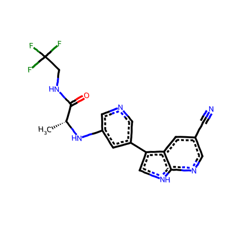 C[C@@H](Nc1cncc(-c2c[nH]c3ncc(C#N)cc23)c1)C(=O)NCC(F)(F)F